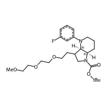 COCCOCCOCCC1CN(C(=O)OC(C)(C)C)[C@@H]2CCCN(c3cccc(F)c3)[C@H]12